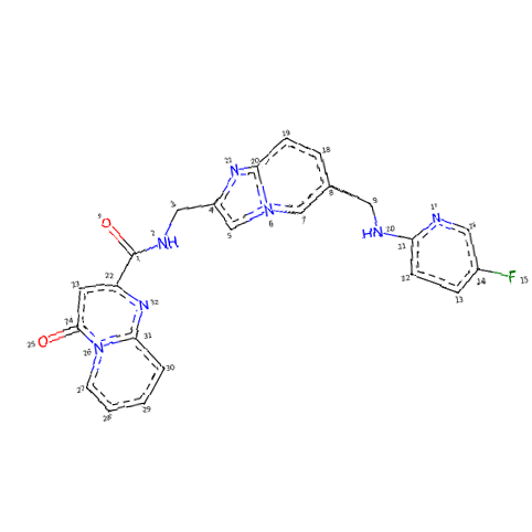 O=C(NCc1cn2cc(CNc3ccc(F)cn3)ccc2n1)c1cc(=O)n2ccccc2n1